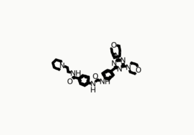 O=C(Nc1ccc(C(=O)NCCN2CCCCC2)cc1)Nc1ccc(-c2nc(N3CCOCC3)nc(N3C4CCC3COC4)n2)cc1